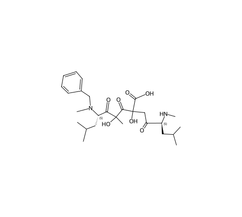 CN[C@@H](CC(C)C)C(=O)CC(O)(C(=O)O)C(=O)C(C)(O)C(=O)[C@H](CC(C)C)N(C)Cc1ccccc1